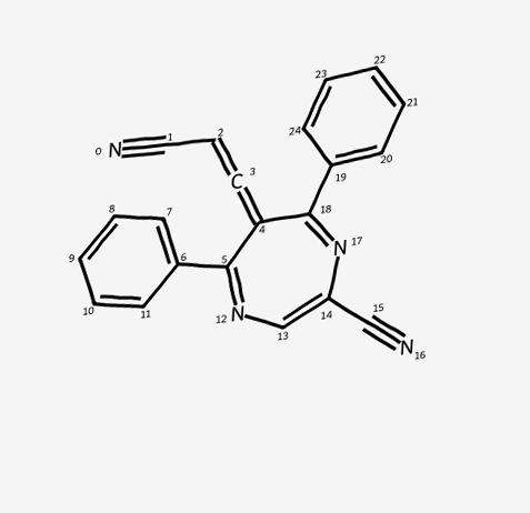 N#CC=C=C1C(c2ccccc2)=NC=C(C#N)N=C1c1ccccc1